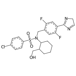 O=S(=O)(c1ccc(Cl)cc1)N(Cc1cc(F)c(C2=NCC=N2)cc1F)C1CCCCC1CO